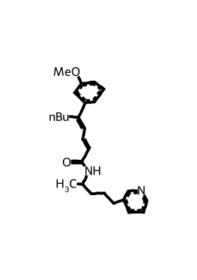 CCCC/C(=C\C=C\C(=O)NC(C)CCCc1cccnc1)c1cccc(OC)c1